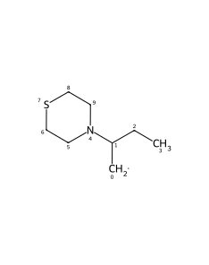 [CH2]C(CC)N1CCSCC1